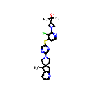 C[C@@H]1c2cccnc2CC12CCN(c1cnc(Sc3ccnc(N4CC(C(C)(C)O)C4)c3Cl)cn1)CC2